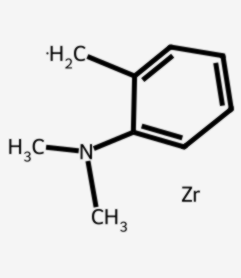 [CH2]c1ccccc1N(C)C.[Zr]